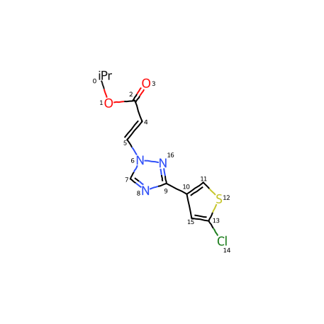 CC(C)OC(=O)C=Cn1cnc(-c2csc(Cl)c2)n1